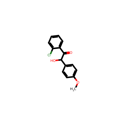 COc1ccc(C(O)C(=O)c2ccccc2Cl)cc1